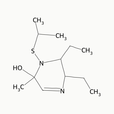 CCC1N=CC(C)(O)N(SC(C)C)C1CC